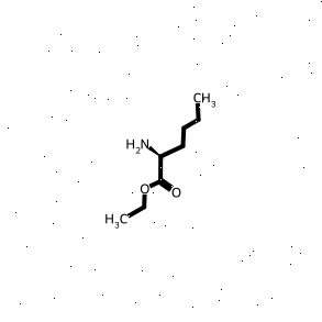 CCCC[C@H](N)C(=O)OCC